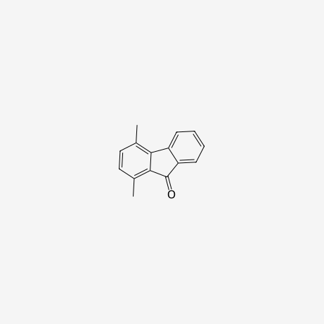 Cc1ccc(C)c2c1C(=O)c1ccccc1-2